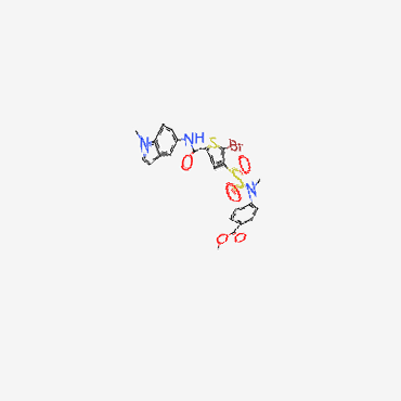 COC(=O)c1ccc(N(C)S(=O)(=O)c2cc(C(=O)Nc3ccc4c(ccn4C)c3)sc2Br)cc1